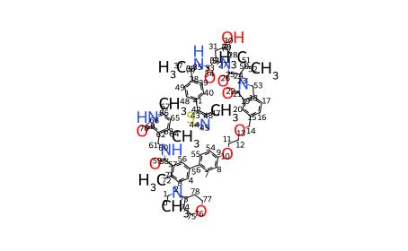 CCN(c1cc(-c2ccc(OCCOCc3ccc4c(c3)C(=O)N(C(C(=O)N3C[C@H](O)C[C@H]3C(=O)N[C@@H](C)c3ccc(-c5scnc5C)cc3)C(C)C)C4)cc2)cc(C(=O)NCc2c(C)cc(C)[nH]c2=O)c1C)C1CCOCC1